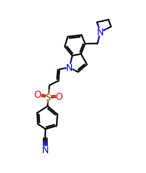 N#Cc1ccc(S(=O)(=O)CC=Cn2ccc3c(CN4CCC4)cccc32)cc1